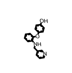 Oc1ccc(Oc2ccccc2NCc2cccnc2)cc1